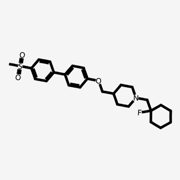 CS(=O)(=O)c1ccc(-c2ccc(OCC3CCN(CC4(F)CCCCC4)CC3)cc2)cc1